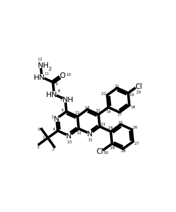 CC(C)(C)c1nc(NNC(=O)NN)c2cc(-c3ccc(Cl)cc3)c(-c3ccccc3Cl)nc2n1